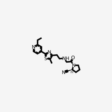 CCc1cc(-c2nc(CCNCC(=O)N3CCC[C@H]3C#N)c(C)s2)ccn1